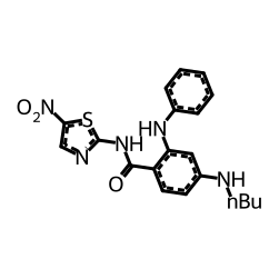 CCCCNc1ccc(C(=O)Nc2ncc([N+](=O)[O-])s2)c(Nc2ccccc2)c1